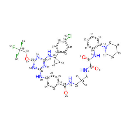 CC(C)(CNC(=O)C(=O)Nc1ccccc1N1CCCCC1)CNC(=O)c1ccc(Nc2nc(NC3(c4ccc(Cl)cc4)CC3)nc(OCC(F)(F)F)n2)cc1